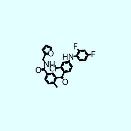 Cc1ccc(C(=O)NCc2ccco2)cc1C(=O)c1ccc(Nc2ccc(F)cc2F)cc1Cl